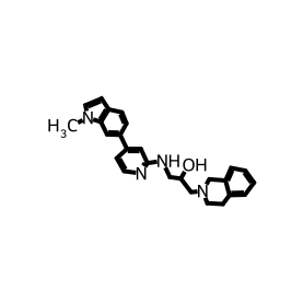 Cn1ccc2ccc(-c3ccnc(NCC(O)CN4CCc5ccccc5C4)c3)cc21